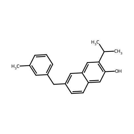 Cc1cccc(Cc2ccc3cc(O)c(C(C)C)cc3c2)c1